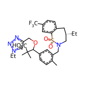 CC[C@H]1Cc2ccc(C(F)(F)F)cc2S(=O)(=O)N(Cc2cc(C(OCc3cn(CC)nn3)C(C)(C)C(=O)O)ccc2C)C1